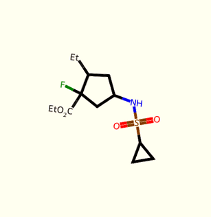 CCOC(=O)C1(F)CC(NS(=O)(=O)C2CC2)CC1CC